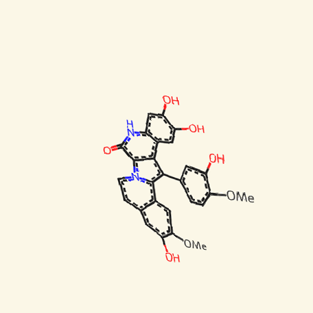 COc1ccc(-c2c3c4cc(O)c(O)cc4[nH]c(=O)c3n3ccc4cc(O)c(OC)cc4c23)cc1O